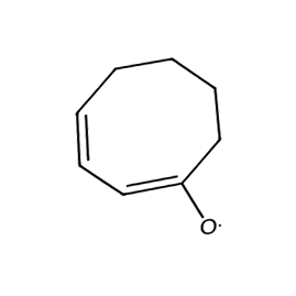 [O]/C1=C/C=C\CCCC1